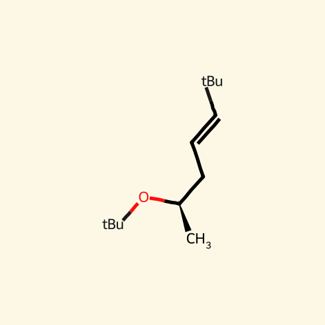 C[C@H](C/C=C/C(C)(C)C)OC(C)(C)C